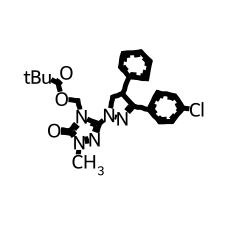 Cn1nc(N2CC(c3ccccc3)C(c3ccc(Cl)cc3)=N2)n(COC(=O)C(C)(C)C)c1=O